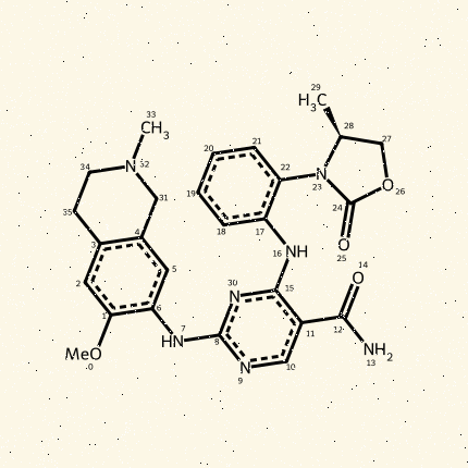 COc1cc2c(cc1Nc1ncc(C(N)=O)c(Nc3ccccc3N3C(=O)OC[C@@H]3C)n1)CN(C)CC2